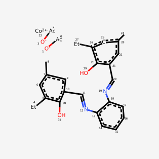 CC(=O)[O-].CC(=O)[O-].CCc1cc(C)cc(C=Nc2ccccc2N=Cc2cc(C)cc(CC)c2O)c1O.[Co+2]